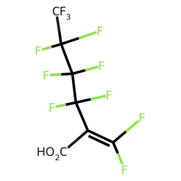 O=C(O)C(=C(F)F)C(F)(F)C(F)(F)C(F)(F)C(F)(F)F